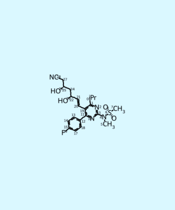 CC(C)c1nc(N(C)S(C)(=O)=O)nc(-c2ccc(F)cc2)c1/C=C/C(O)C[C@@H](O)CC#N